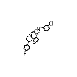 Fc1ccc(C2CCN(C[C@H]3CN(Cc4cccc(Cl)c4)C[C@@H]3c3ccsc3)CC2)cc1